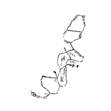 CC(C)(C)O[C@H]1CC[C@@]2(C)C(CC[C@@H]3[C@@H]2CC[C@]2(C)C(c4ccc5ccncc5c4)=CC[C@@H]32)C1